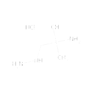 CC(C)(N)CNN.Cl